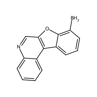 Bc1cccc2c1oc1cnc3ccccc3c12